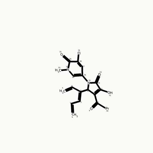 C=C/C=C(\C=C)C1C(C(=O)C(C)C)=C(O)C(=O)N1c1cc(Cl)c(=O)n(C)c1